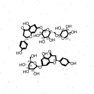 C[C@@H]1O[C@@H](OC[C@H]2O[C@@H](Oc3cc(O)c4c(c3)O[C@H](c3ccc(O)cc3)CC4=O)[C@H](O)[C@@H](O)[C@@H]2O)[C@H](O)[C@H](O)[C@H]1O.O=C1C[C@@H](c2ccc(O)cc2)Oc2cc(O[C@@H]3O[C@H](CO)[C@@H](O)[C@H](O)[C@H]3O)cc(O)c21